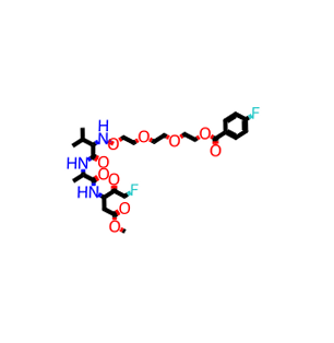 COC(=O)CC(NC(=O)C(C)NC(=O)C(NOCCOCCOCCOC(=O)c1ccc(F)cc1)C(C)C)C(=O)CF